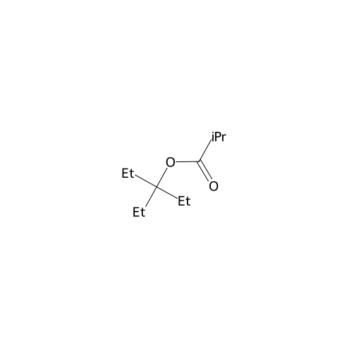 CCC(CC)(CC)OC(=O)C(C)C